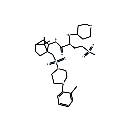 Cc1ccccc1N1CCN(S(=O)(=O)CC23CCC(CC2NC(=O)[C@H](CCS(C)(=O)=O)NC2CCOCC2)C3(C)C)CC1